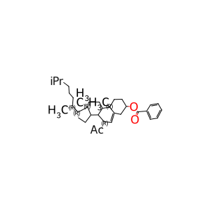 CC(=O)[C@H]1C=C2CC(OC(=O)c3ccccc3)CC[C@]2(C)C2CC[C@@]3(C)C(CC[C@@H]3[C@H](C)CCCC(C)C)C21